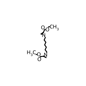 CCOC(=O)C1CN1CCCCCCCN1CC1C(=O)OCC